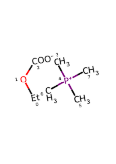 CCOC(=O)[O-].C[P+](C)(C)C